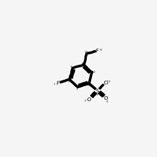 O=S(=O)(Cl)c1cc(F)cc(CF)c1